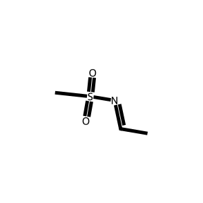 CC=NS(C)(=O)=O